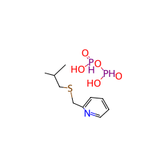 CC(C)CSCc1ccccn1.O=[PH](O)O[PH](=O)O